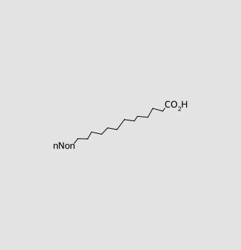 [CH2]CCCCCCCCCCCCCCCCCCCCC(=O)O